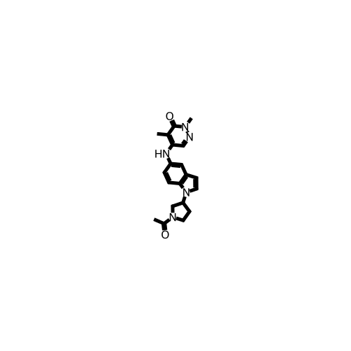 CC(=O)N1CCC(n2ccc3cc(Nc4cnn(C)c(=O)c4C)ccc32)C1